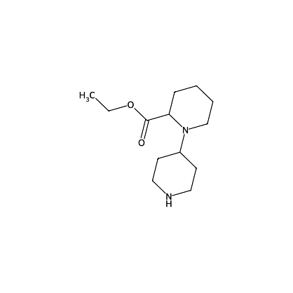 CCOC(=O)C1CCCCN1C1CCNCC1